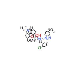 CCN(CC)CCn1c(Cc2ccc(Cl)cc2)nc2cc([N+](=O)[O-])ccc21.COc1ccc2c3c1O[C@H]1[C@@H](O)C=C[C@H]4[C@@H](C2)N(C)CC[C@@]341